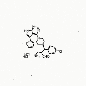 Cl.Cl.NC[C@H](C=O)C(c1ccc(Cl)cc1)N1CCN(c2ncnc3[nH]cc(-c4cccs4)c23)CC1